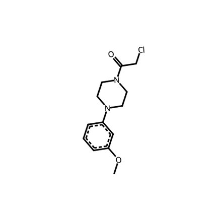 COc1cccc(N2CCN(C(=O)CCl)CC2)c1